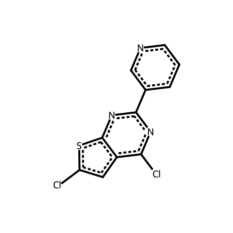 Clc1cc2c(Cl)nc(-c3cccnc3)nc2s1